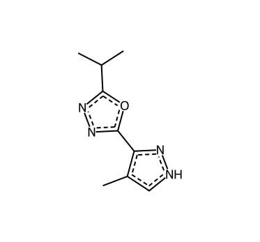 Cc1c[nH]nc1-c1nnc(C(C)C)o1